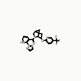 O=C(C1=C(n2nccn2)NCC=C1)N1CC2CC23CC(Oc2ccc(C(F)(F)F)cn2)C13